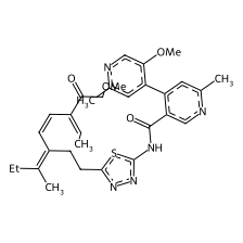 C\C=C(/C=C\C(CCc1nnc(NC(=O)c2cnc(C)cc2-c2cc(C)ncc2OC)s1)=C(\C)CC)C(=O)COC